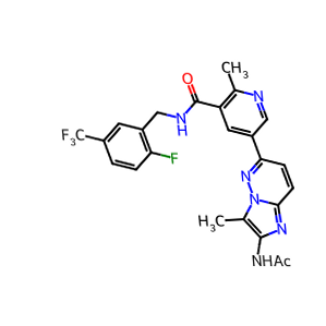 CC(=O)Nc1nc2ccc(-c3cnc(C)c(C(=O)NCc4cc(C(F)(F)F)ccc4F)c3)nn2c1C